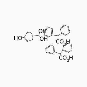 O=C(O)C(c1ccccc1)c1ccccc1.O=C(O)C(c1ccccc1)c1ccccc1.Oc1ccc(C(O)O)cc1